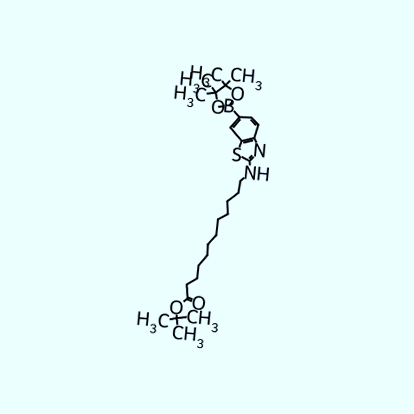 CC(C)(C)OC(=O)CCCCCCCCCCCNc1nc2ccc(B3OC(C)(C)C(C)(C)O3)cc2s1